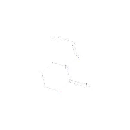 C=C1OCCCN1/N=C\C